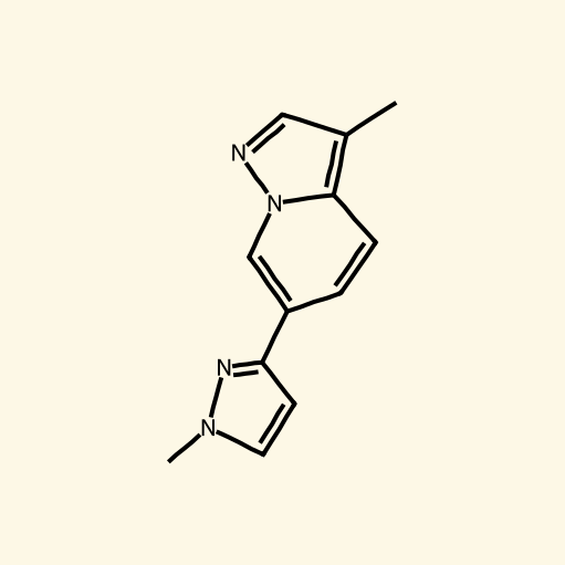 Cc1cnn2cc(-c3ccn(C)n3)ccc12